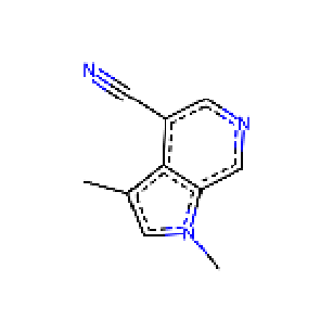 Cc1cn(C)c2cncc(C#N)c12